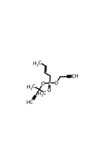 C#CCOP(=O)(CC=CC)OC(C)(C)C#C